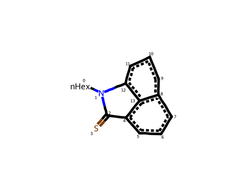 CCCCCCN1C(=S)c2cccc3cccc1c23